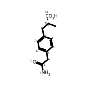 C[C@H](Cc1ccc(CC(N)=O)cc1)C(=O)O